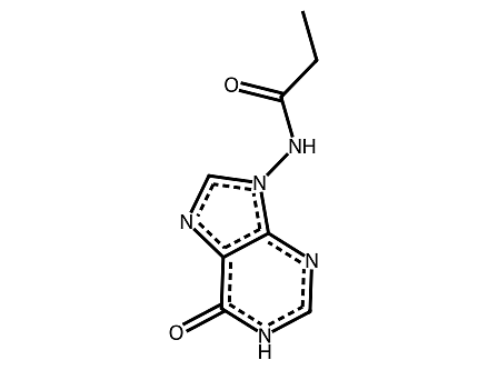 CCC(=O)Nn1cnc2c(=O)[nH]cnc21